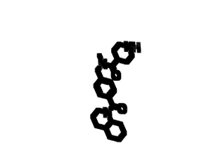 CN(Cc1ccc(C(=O)N2CCCC3CCCCC32)cc1)C(=O)C1CCNCC1